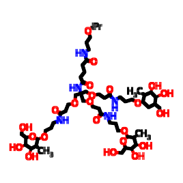 CC(C)OCCCNC(=O)CCCC(=O)NC(COCCC(=O)NCCCO[C@@H]1OC(CO)[C@H](O)[C@H](O)C1C)(COCCC(=O)NCCCO[C@@H]1OC(CO)[C@H](O)[C@H](O)C1C)COCCC(=O)NCCCO[C@@H]1CC(CO)[C@H](O)[C@H](O)C1C